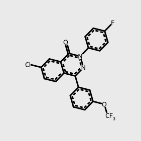 O=c1c2cc(Cl)ccc2c(-c2cccc(OC(F)(F)F)c2)nn1-c1ccc(F)cc1